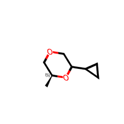 C[C@H]1COCC(C2CC2)O1